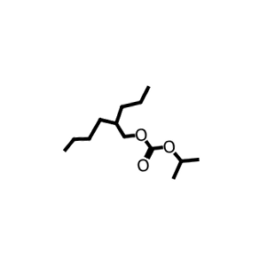 CCCCC(CCC)COC(=O)OC(C)C